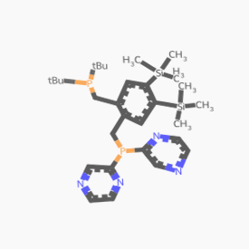 CC(C)(C)P(Cc1cc([Si](C)(C)C)c([Si](C)(C)C)cc1CP(c1cnccn1)c1cnccn1)C(C)(C)C